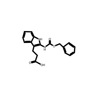 O=C(O)CCc1c(NC(=O)OCc2ccccc2)[nH]c2ccccc12